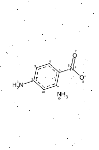 N.Nc1ccc([N+](=O)[O-])cc1